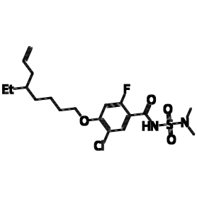 C=CCC(CC)CCCCOc1cc(F)c(C(=O)NS(=O)(=O)N(C)C)cc1Cl